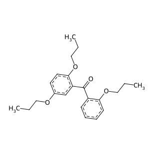 CCCOc1ccc(OCCC)c(C(=O)c2ccccc2OCCC)c1